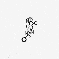 O=C1C(=Cc2nc3sc(-c4ccccc4)nc3o2)C(=O)c2nccnc21